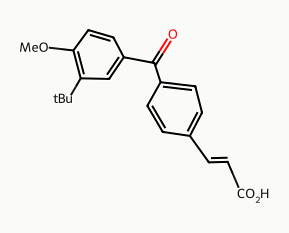 COc1ccc(C(=O)c2ccc(/C=C/C(=O)O)cc2)cc1C(C)(C)C